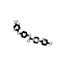 O=C(Oc1ccc(Oc2ccc(C(F)(F)F)cn2)cc1)N1CCN(c2ccc(Cl)cn2)CC1